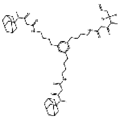 C=CCC(CC)(CC)N(C)C(=O)CC(=O)NCCCCc1cc(CCCCNC(=O)CC(=O)N(C)C23CC4CC(CC(C4)C2)C3)cc(CCCCNC(=O)CC(=O)N(C)C23CC4CC(CC(C4)C2)C3)c1